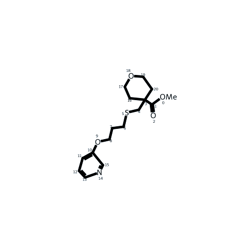 COC(=O)C1(CSCCCOc2cccnc2)CCOCC1